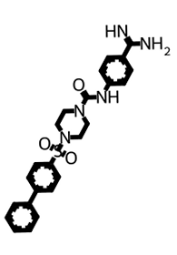 N=C(N)c1ccc(NC(=O)N2CCN(S(=O)(=O)c3ccc(-c4ccccc4)cc3)CC2)cc1